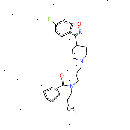 CCCN(CCCN1CCC(c2noc3cc(F)ccc23)CC1)C(=O)c1ccccc1